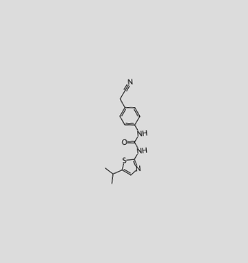 CC(C)c1cnc(NC(=O)Nc2ccc(CC#N)cc2)s1